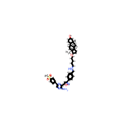 CC(C)S(=O)(=O)c1ccc(-c2cnc(N)c(-c3cc(-c4ccc(CNCCCCCO[C@H]5CC[C@H]6[C@@H]7CC[C@H]8CC(=O)CC[C@]8(C)[C@H]7CC[C@]56C)cc4)no3)n2)cc1